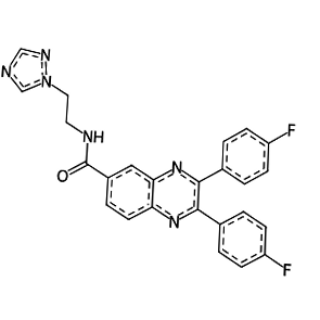 O=C(NCCn1cncn1)c1ccc2nc(-c3ccc(F)cc3)c(-c3ccc(F)cc3)nc2c1